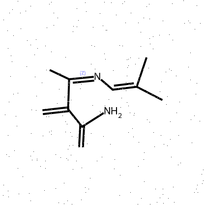 C=C(N)C(=C)/C(C)=N\C=C(C)C